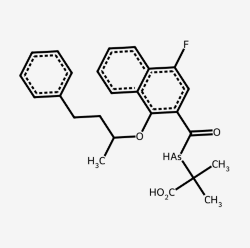 CC(CCc1ccccc1)Oc1c(C(=O)[AsH]C(C)(C)C(=O)O)cc(F)c2ccccc12